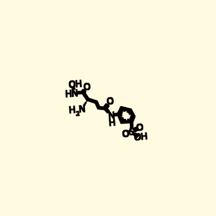 N[C@@H](CCC(=O)Nc1cccc(S(=O)(=O)O)c1)C(=O)NO